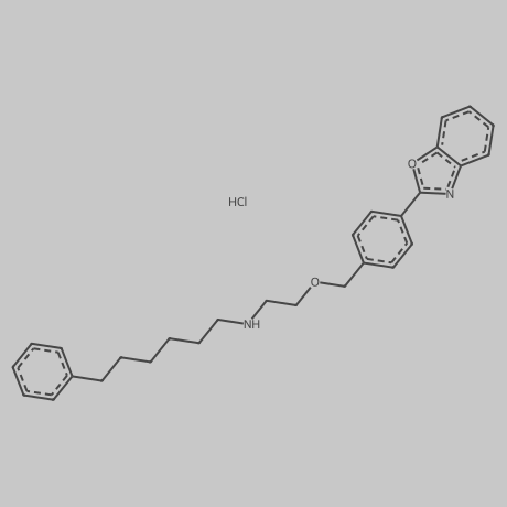 Cl.c1ccc(CCCCCCNCCOCc2ccc(-c3nc4ccccc4o3)cc2)cc1